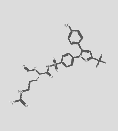 Cc1ccc(-c2cc(C(F)(F)F)nn2-c2ccc(S(=O)(=O)NC(=O)[C@H](CCCNC(=N)N)NC=O)cc2)cc1